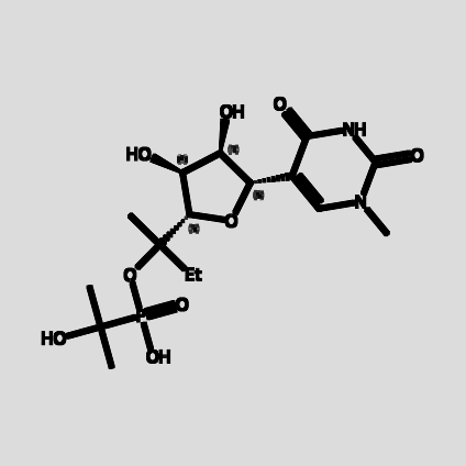 CCC(C)(OP(=O)(O)C(C)(C)O)[C@H]1O[C@@H](c2cn(C)c(=O)[nH]c2=O)[C@H](O)[C@@H]1O